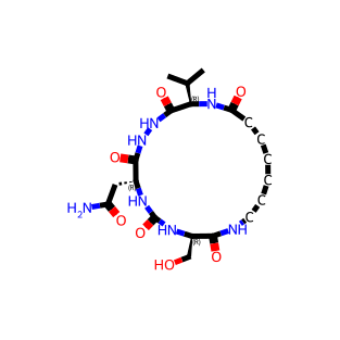 CC(C)[C@H]1NC(=O)CCCCCCNC(=O)[C@@H](CO)NC(=O)N[C@H](CC(N)=O)C(=O)NNC1=O